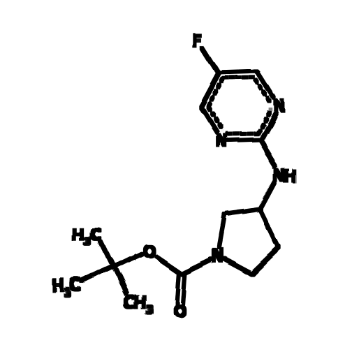 CC(C)(C)OC(=O)N1CCC(Nc2ncc(F)cn2)C1